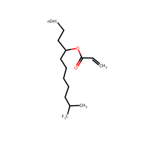 C=CC(=O)OC(CCCCCCCCCCCC)CCCCCC(C)C(F)(F)F